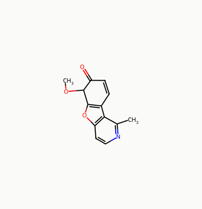 COC1C(=O)C=Cc2c1oc1ccnc(C)c21